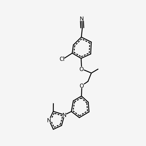 Cc1nccn1-c1cccc(OCC(C)Oc2ccc(C#N)cc2Cl)c1